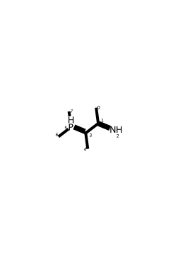 CC(=N)C(C)=[PH](C)C